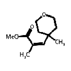 COC(=O)C(C)=CC1(C)CCOCC1